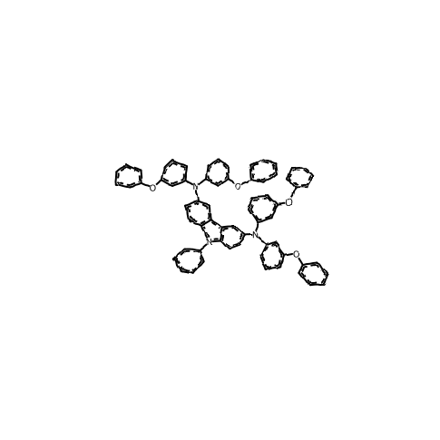 c1ccc(Oc2cccc(N(c3cccc(Oc4ccccc4)c3)c3ccc4c(c3)c3cc(N(c5cccc(Oc6ccccc6)c5)c5cccc(Oc6ccccc6)c5)ccc3n4-c3ccccc3)c2)cc1